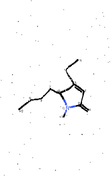 C=C1C=C(CC)C(CCCC)N1C